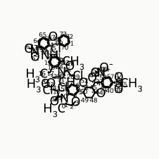 CC1COc2ccccc2N1C(=O)C(Cl)Cl.CCc1cccc(C)c1N(C(=O)CCl)C(C)COC.CS(=O)(=O)c1ccc(C(=O)C2C(=O)CCCC2=O)c([N+](=O)[O-])c1.Nc1c([N+](=O)[O-])ccc(Oc2ccccc2)c1Cl